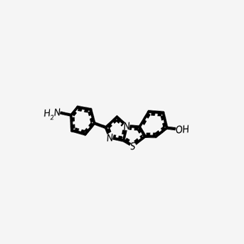 Nc1ccc(-c2cn3c(n2)sc2cc(O)ccc23)cc1